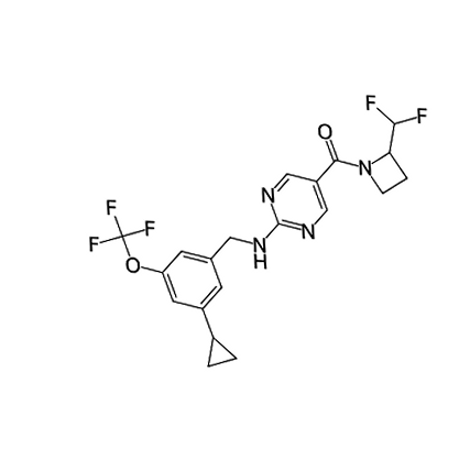 O=C(c1cnc(NCc2cc(OC(F)(F)F)cc(C3CC3)c2)nc1)N1CCC1C(F)F